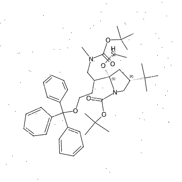 CN(CC(CCOC(c1ccccc1)(c1ccccc1)c1ccccc1)[C@@]1(O[SiH](C)C)C[C@H](C(C)(C)C)CN1C(=O)OC(C)(C)C)C(=O)OC(C)(C)C